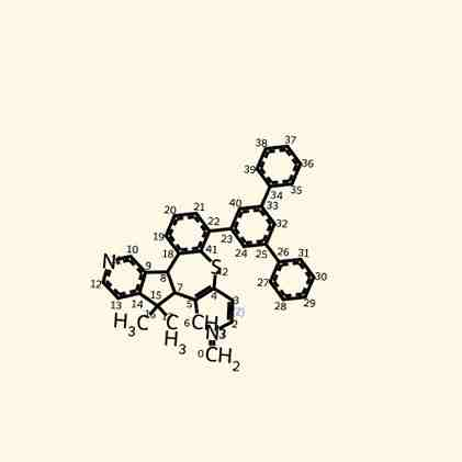 C=N/C=C\C1=C(C)C2C(c3cnccc3C2(C)C)c2cccc(-c3cc(-c4ccccc4)cc(-c4ccccc4)c3)c2S1